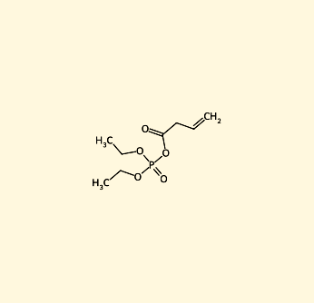 C=CCC(=O)OP(=O)(OCC)OCC